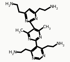 Cc1nc(-c2c(CCN)ncnc2CCN)nc(C)c1-c1nc(CCN)cc(CCN)n1